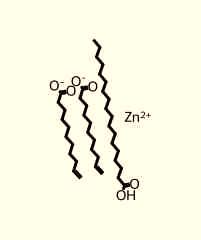 C=CCCCCCCCCC(=O)[O-].C=CCCCCCCCCC(=O)[O-].CCCCCCCCCCCCCCCCCC(=O)O.[Zn+2]